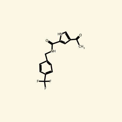 CC(=O)c1c[nH]c(C(=O)NCc2ccc(C(F)(F)F)cc2)c1